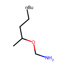 CCCCCCC(C)OCN